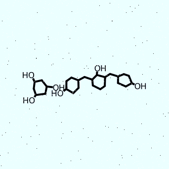 OC1CC(O)CC(O)C1.OC1CCC(CC2CCCC(CC3CCC(O)CC3)C2O)CC1